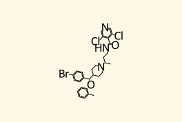 Cc1ccccc1OC(c1ccc(Br)cc1)C1CCN(C(C)CCNC(=O)c2c(Cl)cncc2Cl)CC1